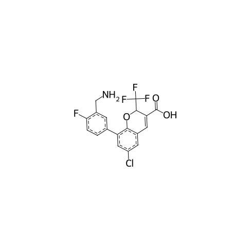 NCc1cc(-c2cc(Cl)cc3c2OC(C(F)(F)F)C(C(=O)O)=C3)ccc1F